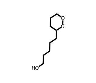 OCCCCCC1CCCOO1